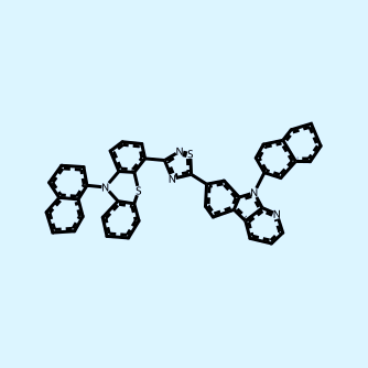 c1ccc2c(c1)Sc1c(-c3nsc(-c4ccc5c6cccnc6n(-c6ccc7ccccc7c6)c5c4)n3)cccc1N2c1cccc2ccccc12